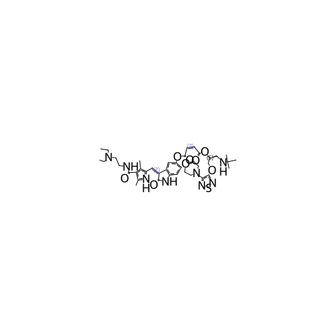 CCN(CC)CCNC(=O)c1c(C)[nH]c(/C=C2\C(=O)Nc3ccc(OC(=O)/C=C\C(=O)O[C@@H](CNC(C)(C)C)COc4nsnc4N4CCOCC4)cc32)c1C